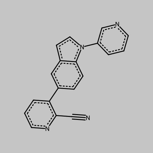 N#Cc1ncccc1-c1ccc2c(ccn2-c2cccnc2)c1